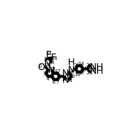 O=C(c1ccc2ccc(-c3nccc(Nc4ccc(C5=CNNC5)cc4)n3)cc2n1)N1CC(F)(F)C1